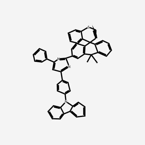 CC1(C)c2ccccc2C2(c3ccccc3Sc3ccccc32)c2ccc(-c3nc(-c4ccccc4)cc(-c4ccc(-n5c6ccccc6c6ccccc65)cc4)n3)cc21